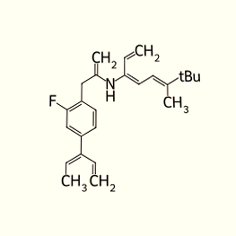 C=C/C(=C\C=C(/C)C(C)(C)C)NC(=C)Cc1ccc(/C(C=C)=C/C)cc1F